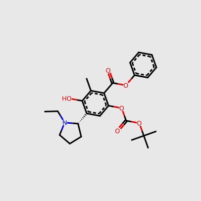 CCN1CCC[C@H]1c1cc(OC(=O)OC(C)(C)C)c(C(=O)Oc2ccccc2)c(C)c1O